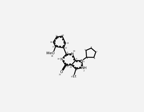 CCc1[nH]n(C2CCCC2)c2nc(-c3ccccc3OC)nc(=O)c1-2